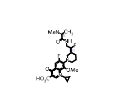 CN[C@@H](C)C(=O)NC/C(F)=C1/CCCN(c2c(F)cc3c(=O)c(C(=O)O)cn(C4CC4)c3c2OC)C1